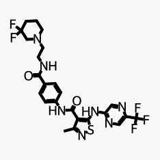 Cc1nsc(Nc2cnc(C(F)(F)F)cn2)c1C(=O)Nc1ccc(C(=O)NCCN2CCCC(F)(F)C2)cc1